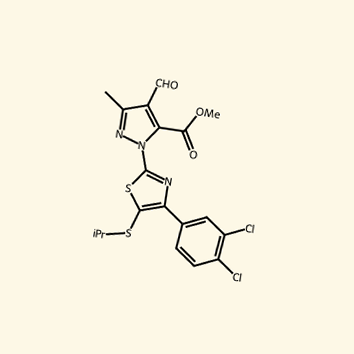 COC(=O)c1c(C=O)c(C)nn1-c1nc(-c2ccc(Cl)c(Cl)c2)c(SC(C)C)s1